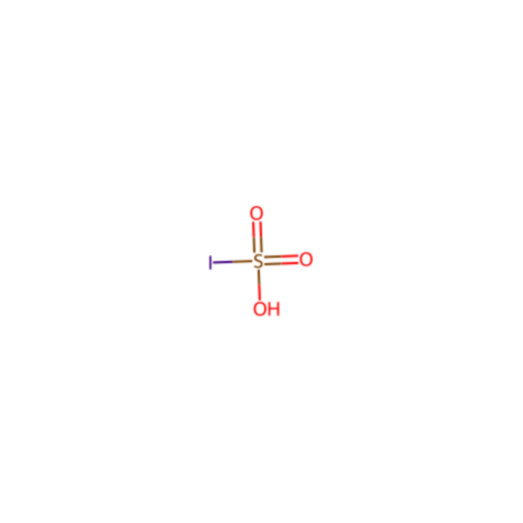 O=S(=O)(O)I